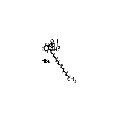 Br.CCCCCCCCCCCCCCCCC1CCCCC1(CCO)N(C)C